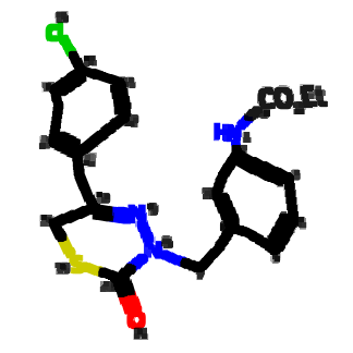 CCOC(=O)Nc1cccc(CN2N=C(c3ccc(Cl)cc3)CSC2=O)c1